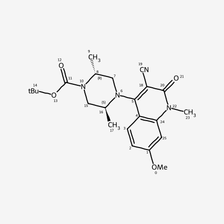 COc1ccc2c(N3C[C@@H](C)N(C(=O)OC(C)(C)C)C[C@@H]3C)c(C#N)c(=O)n(C)c2c1